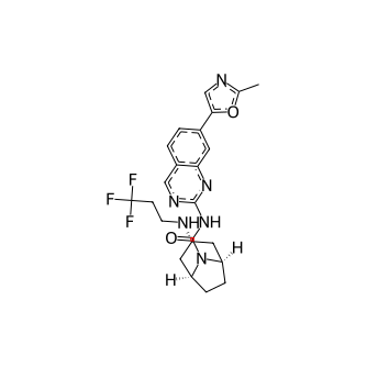 Cc1ncc(-c2ccc3cnc(NC(=O)N4[C@@H]5CC[C@H]4C[C@H](NCCC(F)(F)F)C5)nc3c2)o1